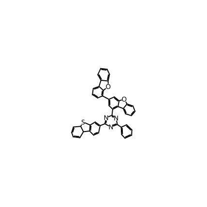 C1=CC2Sc3cc(-c4nc(-c5ccccc5)nc(-c5cc(-c6cccc7c6oc6ccccc67)cc6oc7ccccc7c56)n4)ccc3C2C=C1